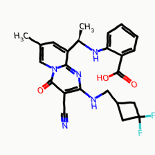 Cc1cc([C@@H](C)Nc2ccccc2C(=O)O)c2nc(NCC3CC(F)(F)C3)c(C#N)c(=O)n2c1